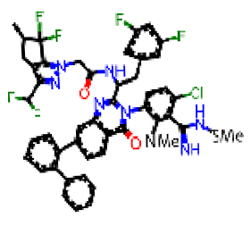 CNc1c(-n2c(C(Cc3cc(F)cc(F)c3)NC(=O)Cn3nc(C(F)F)c4c3C(F)(F)C(C)C4)nc3cc(-c4ccccc4-c4ccccc4)ccc3c2=O)ccc(Cl)c1C(=N)NSC